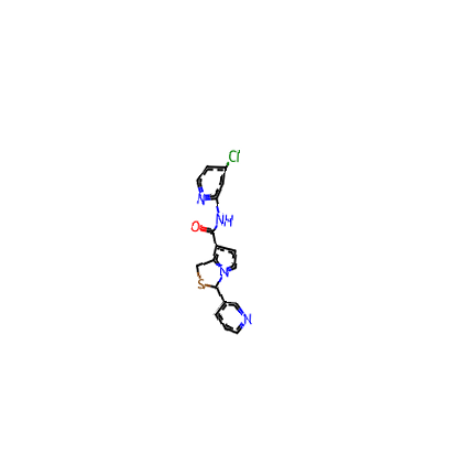 O=C(Nc1cc(Cl)ccn1)c1ccn2c1CSC2c1cccnc1